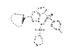 Cc1ccc(S(=O)(=O)Nc2ccc(N3CCCNCC3)cc2NS(=O)(=O)c2ccccc2)cc1.Cl